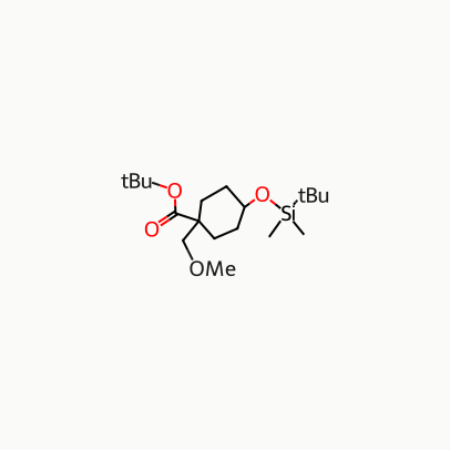 COCC1(C(=O)OC(C)(C)C)CCC(O[Si](C)(C)C(C)(C)C)CC1